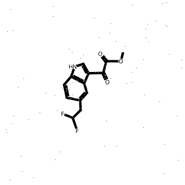 COC(=O)C(=O)c1c[nH]c2ccc(CC(F)F)cc12